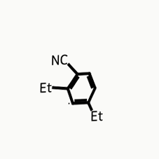 CCc1[c]c(CC)c(C#N)cc1